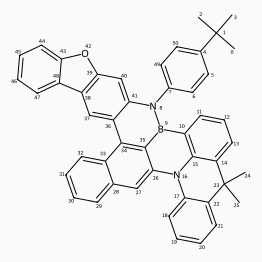 CC(C)(C)c1ccc(N2B3c4cccc5c4N(c4ccccc4C5(C)C)c4cc5ccccc5c(c43)-c3cc4c(cc32)oc2ccccc24)cc1